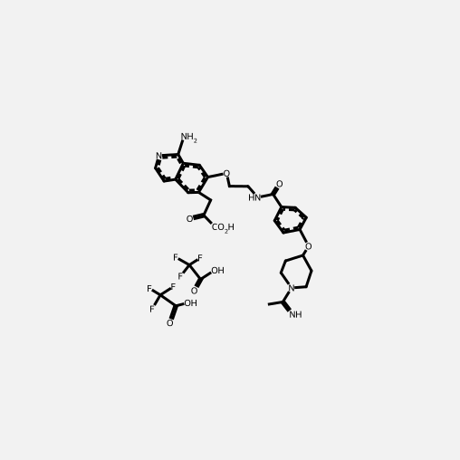 CC(=N)N1CCC(Oc2ccc(C(=O)NCCOc3cc4c(N)nccc4cc3CC(=O)C(=O)O)cc2)CC1.O=C(O)C(F)(F)F.O=C(O)C(F)(F)F